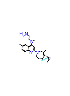 C/C=C\C1=C(C)CN(c2cc(N(C)CCN)c3cc(C)ccc3n2)CCC1(F)F